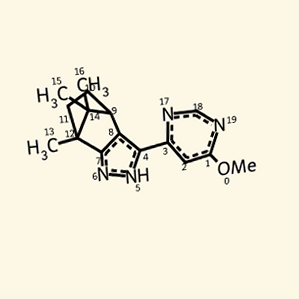 COc1cc(-c2[nH]nc3c2C2CCC3(C)C2(C)C)ncn1